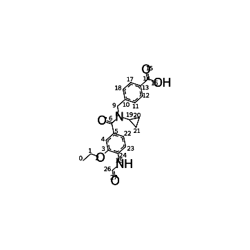 CCOc1cc(C(=O)N(Cc2ccc(C(=O)O)cc2)C2CC2)ccc1NC=O